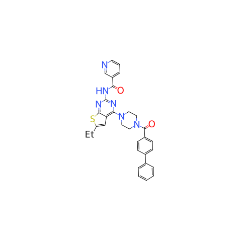 CCc1cc2c(N3CCN(C(=O)c4ccc(-c5ccccc5)cc4)CC3)nc(NC(=O)c3cccnc3)nc2s1